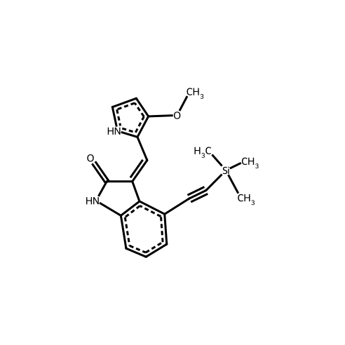 COc1cc[nH]c1C=C1C(=O)Nc2cccc(C#C[Si](C)(C)C)c21